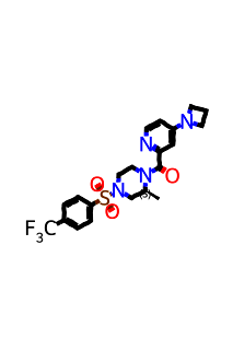 C[C@H]1CN(S(=O)(=O)c2ccc(C(F)(F)F)cc2)CCN1C(=O)c1cc(N2CCC2)ccn1